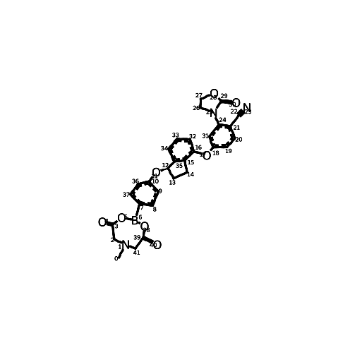 CN1CC(=O)OB(c2ccc(O[C@@H]3CCc4c(Oc5ccc(C#N)c(N6CCOC6=O)c5)cccc43)cc2)OC(=O)C1